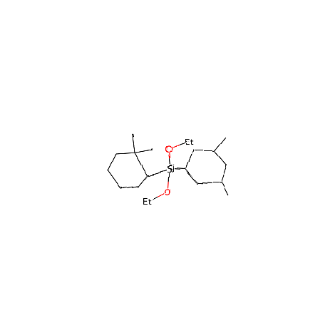 CCO[Si](OCC)(C1CC(C)CC(C)C1)C1CCCCC1(C)C